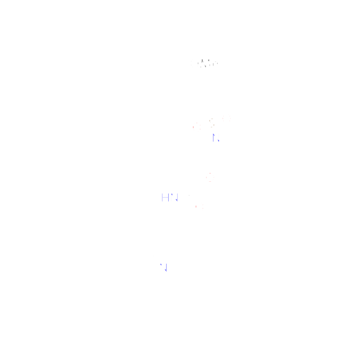 COc1cc(C)c(S(=O)(=O)N2CCC(OCC(=O)NC3CCC(C(c4ccccc4)N(C)C)CC3)C2)c(C)c1